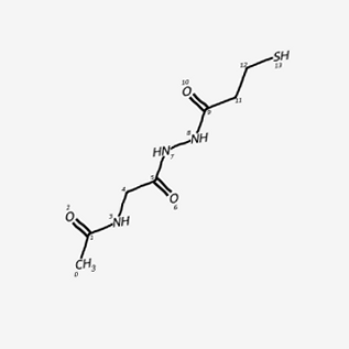 CC(=O)NCC(=O)NNC(=O)CCS